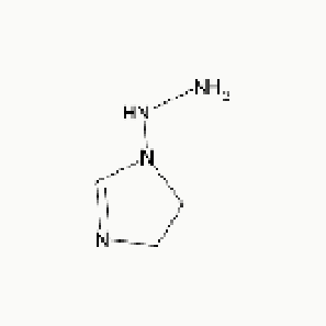 NNN1C=NCC1